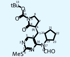 CSc1ncc(C[C@@H]2CCN(C(=O)OC(C)(C)C)C2=O)c(N(C=O)C2CCCC2)n1